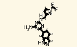 Nc1nc(NCc2ccn(C(F)F)n2)nc(-c2ccc3cn[nH]c3c2)n1